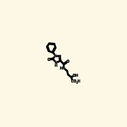 O=C(NCCC(O)C(=O)O)c1nn(-c2ccccc2)c(=O)[nH]1